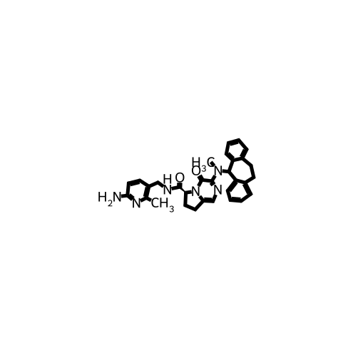 Cc1nc(N)ccc1CNC(=O)[C@@H]1CCc2cnc(N(C)C3c4ccccc4CCc4ccccc43)c(=O)n21